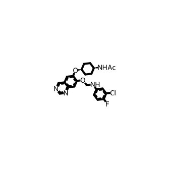 CC(=O)N[C@H]1CC[C@@H](Oc2cc3cncnc3cc2OCNc2ccc(F)c(Cl)c2)CC1